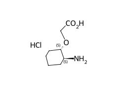 Cl.N[C@H]1CCCC[C@@H]1OCC(=O)O